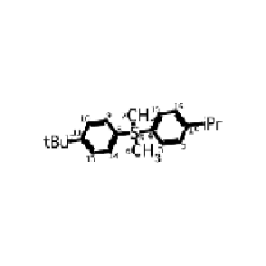 CC(C)c1ccc(S(C)(C)c2ccc(C(C)(C)C)cc2)cc1